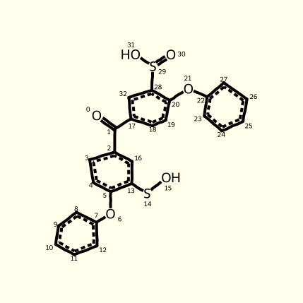 O=C(c1ccc(Oc2ccccc2)c(SO)c1)c1ccc(Oc2ccccc2)c(S(=O)O)c1